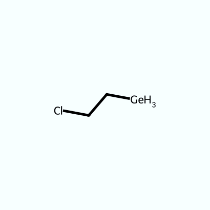 ClC[CH2][GeH3]